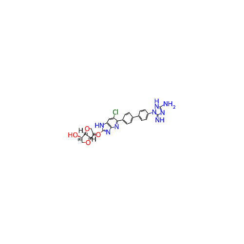 N=c1nc(N)[nH]n1-c1ccc(-c2ccc(-c3nc4nc(O[C@@H]5CO[C@H]6[C@@H]5OC[C@H]6O)[nH]c4cc3Cl)cc2)cc1